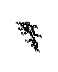 C=C/C=C\C=C(/C)SS[C@H](C)COC(=O)N1c2cc(OCCCCCOc3cc4c(cc3OC)C(=O)N3CC(=C)CC3C=N4)c(OC)cc2C(=C)N2CC(=C)C[C@H]2[C@@H]1O